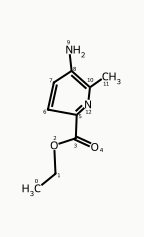 CCOC(=O)c1ccc(N)c(C)n1